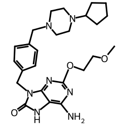 COCCOc1nc(N)c2[nH]c(=O)n(Cc3ccc(CN4CCN(C5CCCC5)CC4)cc3)c2n1